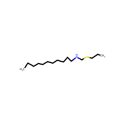 CCCCCCCCCCCNCSCCC